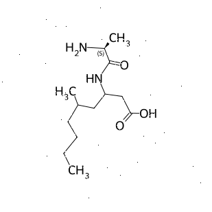 CCCCC(C)CC(CC(=O)O)NC(=O)[C@H](C)N